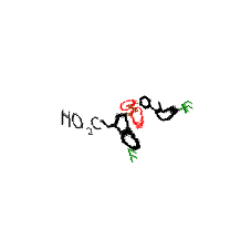 Cc1cc(F)ccc1-c1cccc(S(=O)(=O)C2C=C(CCC(=O)O)c3cc(F)ccc32)c1